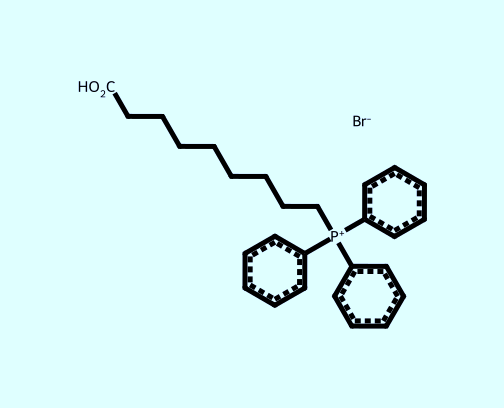 O=C(O)CCCCCCCC[P+](c1ccccc1)(c1ccccc1)c1ccccc1.[Br-]